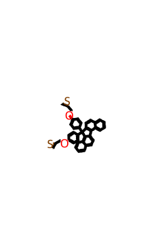 c1ccc2c3c(ccc2c1)C(c1ccc(OCC2CS2)cc1)(c1ccc(OCC2CS2)cc1)c1c-3ccc2ccccc12